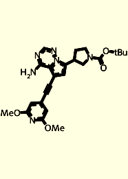 COc1cc(C#Cc2cc(C3CCN(C(=O)OC(C)(C)C)C3)n3ncnc(N)c23)cc(OC)n1